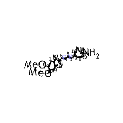 COc1cc2nc(/C=C/C=C/c3ccc(N)nc3)sc2cc1OC